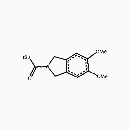 COc1cc2c(cc1OC)CN(C(=O)C(C)(C)C)C2